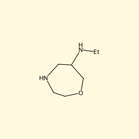 CCNC1CNCCOC1